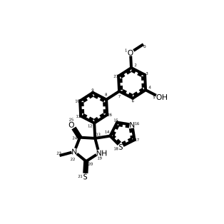 COc1cc(O)cc(-c2cccc(C3(c4cncs4)NC(=S)N(C)C3=O)c2)c1